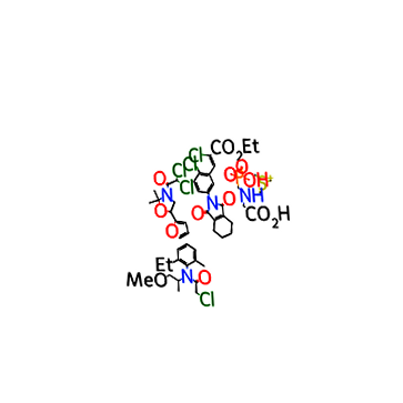 CC1(C)OC(c2ccco2)CN1C(=O)C(Cl)Cl.CCOC(=O)/C(Cl)=C/c1cc(N2C(=O)C3=C(CCCC3)C2=O)ccc1Cl.CCc1cccc(C)c1N(C(=O)CCl)C(C)COC.C[S+](C)C.O=C(O)CNCP(=O)([O-])O